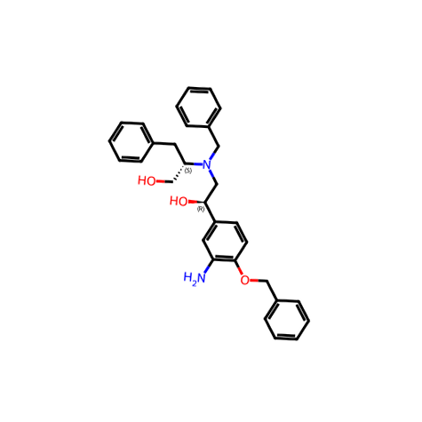 Nc1cc([C@@H](O)CN(Cc2ccccc2)[C@H](CO)Cc2ccccc2)ccc1OCc1ccccc1